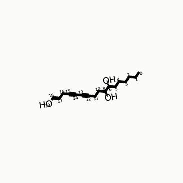 CCCCCC[C@H](O)C(O)CCC#CC#CCC=CO